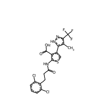 Cc1c(C(F)(F)F)n[nH]c1-c1csc(NC(=O)CCc2c(Cl)cccc2Cl)c1C(=O)O